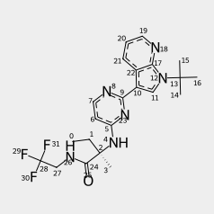 CC[C@@](C)(Nc1ccnc(-c2cn(C(C)(C)C)c3ncccc23)n1)C(=O)NCC(F)(F)F